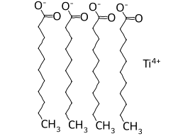 CCCCCCCCCCC(=O)[O-].CCCCCCCCCCC(=O)[O-].CCCCCCCCCCC(=O)[O-].CCCCCCCCCCC(=O)[O-].[Ti+4]